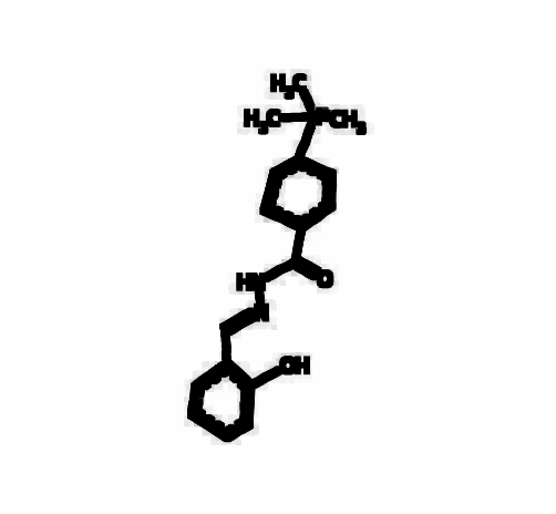 C[N+](C)(C)c1ccc(C(=O)N/N=C/c2ccccc2O)cc1